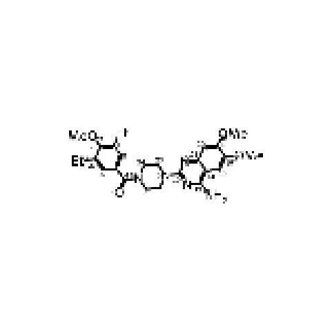 CCc1cc(C(=O)N2CCN(c3nc(N)c4cc(OC)c(OC)cc4n3)CC2)cc(CC)c1OC